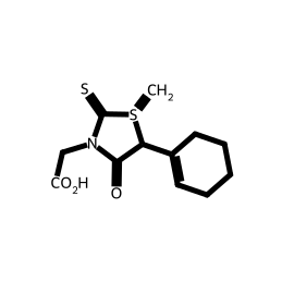 C=S1C(=S)N(CC(=O)O)C(=O)C1C1=CCCCC1